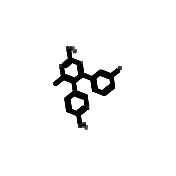 Cc1nc(N)nc(-c2cccc(F)c2)c1-c1ccc(N)nc1